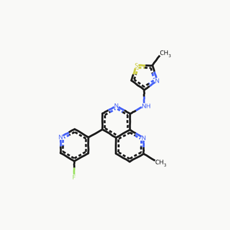 Cc1ccc2c(-c3cncc(F)c3)cnc(Nc3csc(C)n3)c2n1